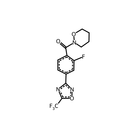 O=C(c1ccc(-c2noc(C(F)(F)F)n2)cc1F)N1CCCCO1